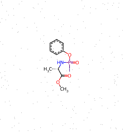 COC(=O)[C@H](C)NP(=O)(I)Oc1ccccc1